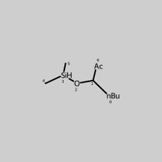 CCCCC(O[SiH](C)C)C(C)=O